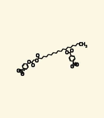 CCCCCCC(CCCCCCCCCCC(=O)OCC(=O)Oc1ccc([N+](=O)[O-])cc1)OC(=O)c1ccc([N+](=O)[O-])cc1